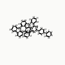 c1ccc(-c2ccc(-c3nc(-c4ccccc4)nc(-c4ccccc4-n4c5cccc6c7cccc8c9ccccc9n(c9cccc4c9c65)c78)n3)cc2)cc1